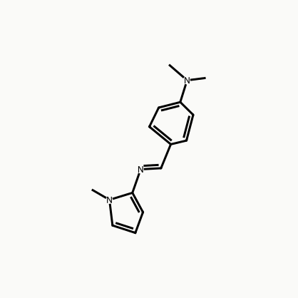 CN(C)c1ccc(/C=N/c2cccn2C)cc1